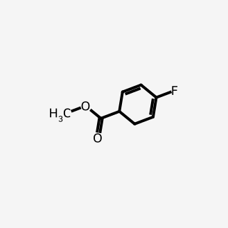 COC(=O)C1C=CC(F)=CC1